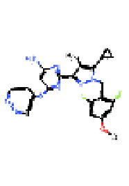 CCOc1cc(F)c(Cn2nc(-c3nc(N)cc(Nc4ccnnc4)n3)c(C)c2C2CC2)c(F)c1